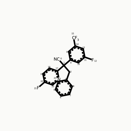 N#CC(Cc1ccccc1)(c1cc(F)cc(C(F)(F)F)c1)c1ccc(F)cn1